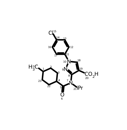 CC1CCC(C(=O)N(c2nn(-c3ccc(Cl)cc3)cc2C(=O)O)C(C)C)CC1